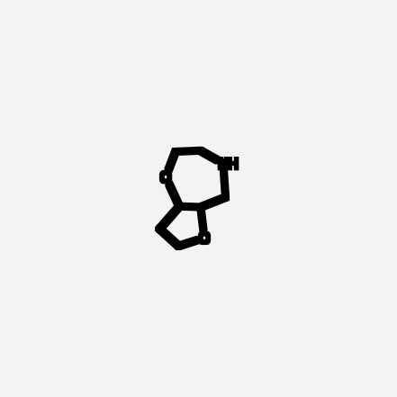 C1COC2CCOC2CN1